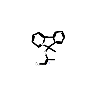 CCC(C)/C=C(/C)OC1(C)c2ccccc2-c2cccc[n+]21